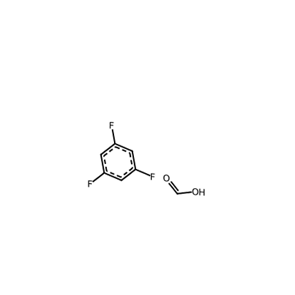 Fc1cc(F)cc(F)c1.O=CO